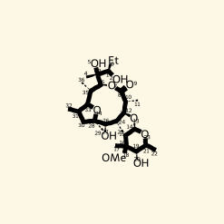 CC[C@@H](O)[C@@](C)(O)[C@@H]1OC(=O)[C@H](C)[C@@H](O[C@H]2CC(C)(OC)[C@@H](O)C(C)O2)[C@H](C)[C@H](O)[C@@]2(C)CC(C)C(O2)[C@@H]1C